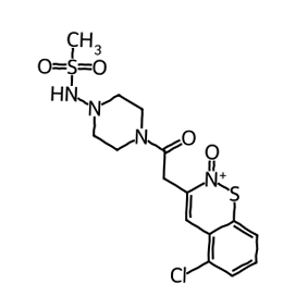 CS(=O)(=O)NN1CCN(C(=O)Cc2cc3c(Cl)cccc3s[n+]2=O)CC1